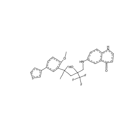 COc1ccc(-c2ccsc2)cc1C(C)(C)CC(O)(CNc1ccc2[nH]ccc(=O)c2c1)C(F)(F)F